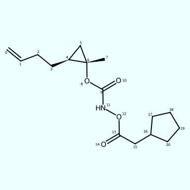 C=CCC[C@H]1C[C@]1(C)OC(=O)NOC(=O)CC1CCCC1